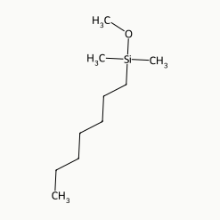 CCCCCCC[Si](C)(C)OC